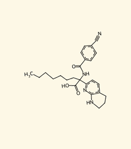 CCCCCCCC(NC(=O)c1ccc(C#N)cc1)(C(=O)O)c1ccc2c(n1)NCCC2